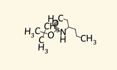 CCCC(CC)NC(=O)OC(C)(C)C